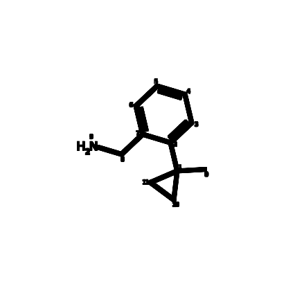 CC1(c2ccccc2CN)CC1